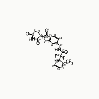 O=C1CCC(N2Cc3cc(CNC(=O)C(F)(F)c4ncccc4C(F)(F)F)ccc3C2=O)C(=O)N1